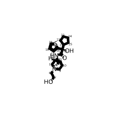 O=C(N[C@H]1C[N+]2(CCO)CCC1CC2)[C@](O)(c1cccs1)C1CCCC1